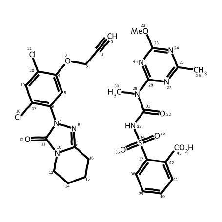 C#CCOc1cc(-n2nc3n(c2=O)CCCC3)c(Cl)cc1Cl.COc1nc(C)nc(N(C)C(=O)NS(=O)(=O)c2ccccc2C(=O)O)n1